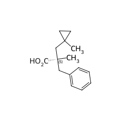 CC1(C[C@@](C)(Cc2ccccc2)C(=O)O)CC1